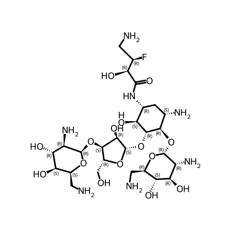 NC[C@@H](F)[C@H](O)C(=O)N[C@@H]1C[C@H](N)[C@@H](O[C@H]2O[C@H](CN)[C@@H](O)[C@H](O)[C@H]2N)[C@H](O[C@@H]2O[C@H](CO)[C@@H](O[C@H]3O[C@@H](CN)[C@@H](O)[C@H](O)[C@H]3N)[C@H]2O)[C@H]1O